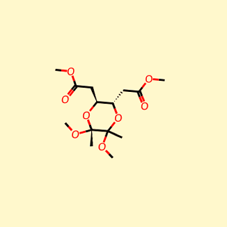 COC(=O)C[C@@H]1OC(C)(OC)[C@](C)(OC)O[C@H]1CC(=O)OC